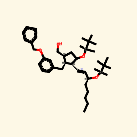 CCCCC[C@@H](/C=C/[C@H]1C(O[Si](C)(C)C(C)(C)C)C[C@H](CO)[C@@H]1Cc1cccc(OCc2ccccc2)c1)O[Si](C)(C)C(C)(C)C